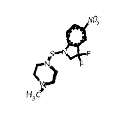 CN1CCN(SN2CC(F)(F)c3cc([N+](=O)[O-])ccc32)CC1